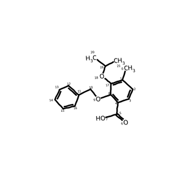 Cc1ccc(C(=O)O)c(OCc2ccccc2)c1OC(C)C